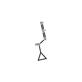 [N-]=[N+]=NNC1CC1